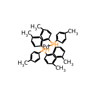 Cc1ccc([PH]([Pd][PH](c2ccc(C)cc2)(c2ccc(C)cc2)c2ccc(C)cc2)(c2ccc(C)cc2)c2ccc(C)cc2)cc1